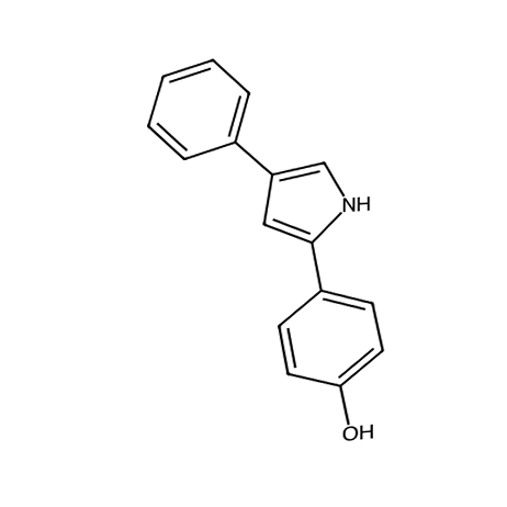 Oc1ccc(-c2cc(-c3ccccc3)c[nH]2)cc1